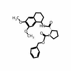 COc1cc2c(cc1OC)C(NC(=O)[C@@H]1CCCN1C(=O)OCc1ccccc1)CCC2